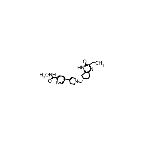 CCc1nc2c([nH]c1=O)C[C@@H](CN1CC=C(c3ccc(C(=O)NC)nc3)CC1)CC2